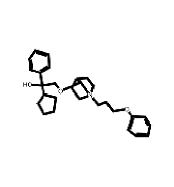 OC(COC1C[N+]2(CCCOc3ccccc3)CCC1CC2)(c1ccccc1)C1CCCC1